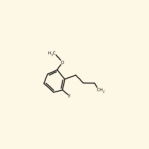 [CH2]CCCc1c(F)cccc1OC